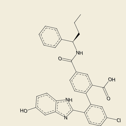 CCC[C@@H](NC(=O)c1ccc(-c2cc(Cl)ccc2-c2nc3cc(O)ccc3[nH]2)c(C(=O)O)c1)c1ccccc1